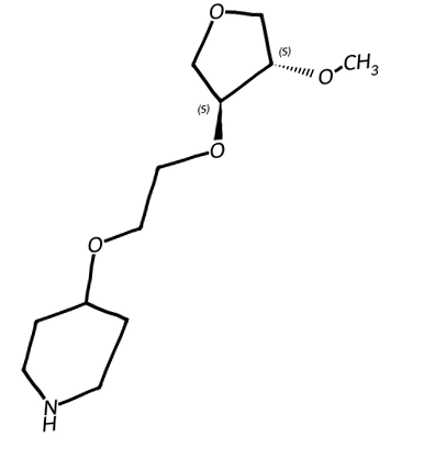 CO[C@H]1COC[C@@H]1OCCOC1CCNCC1